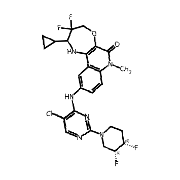 Cn1c(=O)c2c(c3cc(Nc4nc(N5CC[C@H](F)[C@H](F)C5)ncc4Cl)ccc31)NC(C1CC1)C(F)(F)CO2